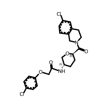 O=C(COc1ccc(Cl)cc1)N[C@H]1CC[C@H](C(=O)N2CCc3cc(Cl)ccc3C2)OC1